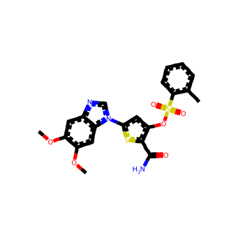 COc1cc2ncn(-c3cc(OS(=O)(=O)c4ccccc4C)c(C(N)=O)s3)c2cc1OC